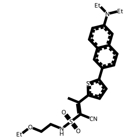 CCOCCNS(=O)(=O)/C(C#N)=C(\C)c1ccc(-c2ccc3cc(N(CC)CC)ccc3c2)s1